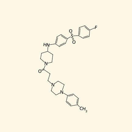 Cc1ccc(N2CCN(CCC(=O)N3CCC(Nc4ccc(S(=O)(=O)c5ccc(F)cc5)cc4)CC3)CC2)cc1